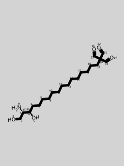 N[C@@H](CO)[C@H](O)CCCCCCCCCCCCCCC(C=O)(C=O)C=O